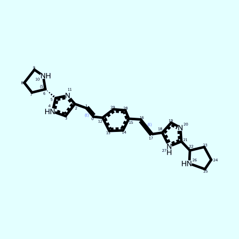 C(=C\c1c[nH]c([C@@H]2CCCN2)n1)/c1ccc(/C=C/c2cnc(C3CCCN3)[nH]2)cc1